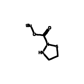 CC(C)(C)OC(=O)N1NCCS1